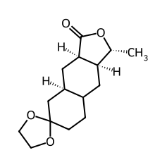 C[C@H]1OC(=O)[C@@H]2C[C@@H]3CC4(CCC3C[C@H]12)OCCO4